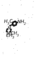 Cc1cc(N)ccc1CN1CCN(C)[C@H](C)C1